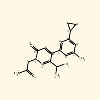 CC(C)c1nn(CC(N)=O)c(=O)cc1-c1cc(P)cc(C2CC2)c1